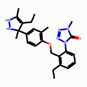 CCC1=C(C)NNC1(C)c1ccc(OCc2c(CC)cccc2-n2nnn(C)c2=O)c(C)c1